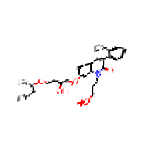 CCc1ccccc1C1=CC2C=CC(OCC(O)CCOC(CC(C)C)C(C)C)=CC2N(CCCO)C1=O